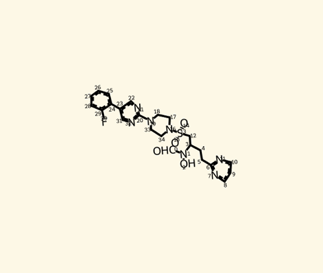 O=CN(O)C(CCc1ncccn1)CS(=O)(=O)N1CCN(c2ncc(-c3ccccc3F)cn2)CC1